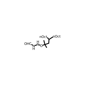 CCCCCCCCC(CCCCCCCC)CC(C)(C)ONNC=O